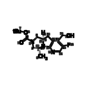 C[C@@H]1CN(C(=O)OC(C)(C)C)C[C@H]2Cc3c(ncc(F)c3CO)N21